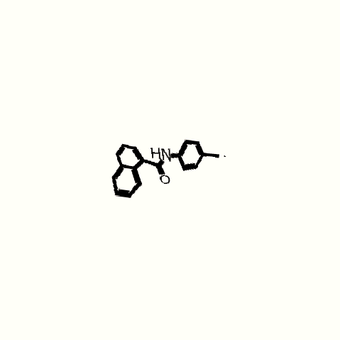 [CH2]c1ccc(NC(=O)c2cccc3ccccc23)cc1